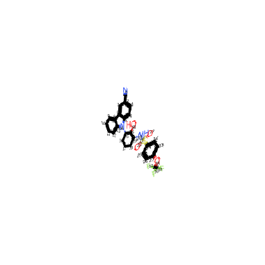 N#Cc1ccc2c(c1)c1ccccc1n2[C@H]1CCC[C@@H](NS(=O)(=O)c2ccc(OC(F)(F)F)cc2)[C@@H]1O